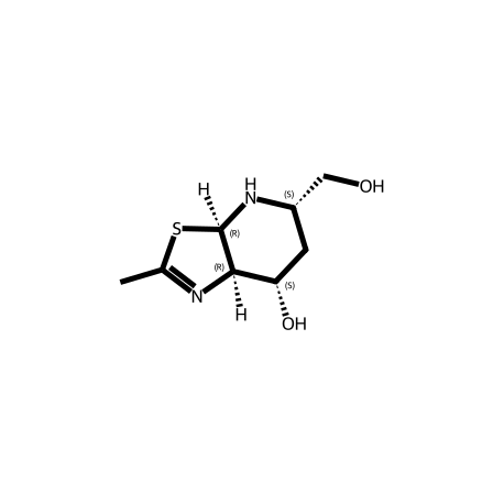 CC1=N[C@H]2[C@H](N[C@H](CO)C[C@@H]2O)S1